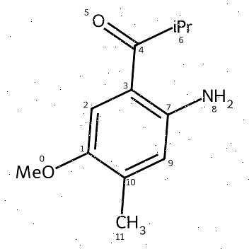 COc1cc(C(=O)C(C)C)c(N)cc1C